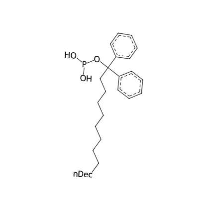 CCCCCCCCCCCCCCCCCCC(OP(O)O)(c1ccccc1)c1ccccc1